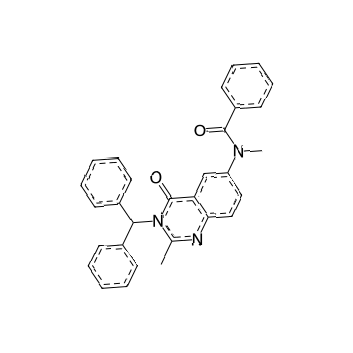 Cc1nc2ccc(N(C)C(=O)c3ccccc3)cc2c(=O)n1C(c1ccccc1)c1ccccc1